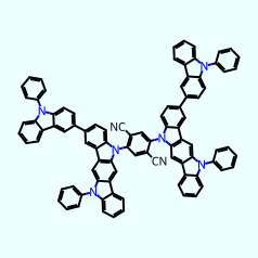 N#Cc1cc(-n2c3ccc(-c4ccc5c(c4)c4ccccc4n5-c4ccccc4)cc3c3cc4c(cc32)c2ccccc2n4-c2ccccc2)c(C#N)cc1-n1c2ccc(-c3ccc4c(c3)c3ccccc3n4-c3ccccc3)cc2c2cc3c(cc21)c1ccccc1n3-c1ccccc1